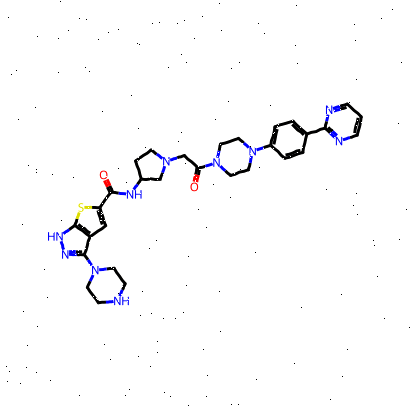 O=C(NC1CCN(CC(=O)N2CCN(c3ccc(-c4ncccn4)cc3)CC2)C1)c1cc2c(N3CCNCC3)n[nH]c2s1